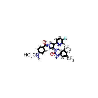 CN(C(=O)N(C)[C@@H]1CN(C(=O)C2CCC(N(C)C(=O)O)CC2)C[C@H]1c1ccc(F)cn1)c1cc(C(F)(F)F)cc(C(F)(F)F)c1